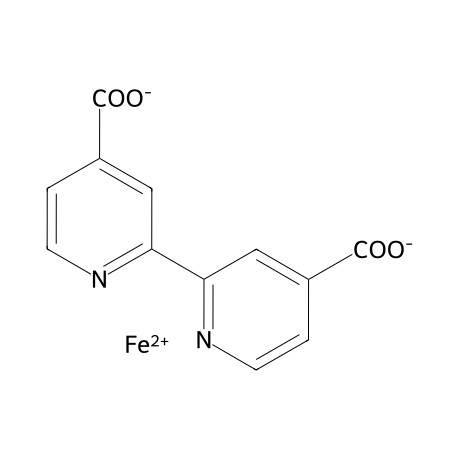 O=C([O-])c1ccnc(-c2cc(C(=O)[O-])ccn2)c1.[Fe+2]